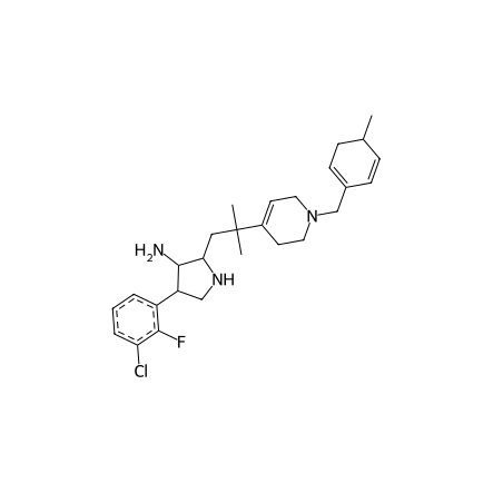 CC1C=CC(CN2CC=C(C(C)(C)CC3NCC(c4cccc(Cl)c4F)C3N)CC2)=CC1